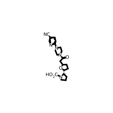 N#Cc1ccc(N2CCN(C(=O)CC3CCC([C@@H]4CCCN4C(=O)O)O3)CC2)nc1